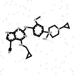 COc1cc([PH]2(O)CCN(C3CC3)CC2)ccc1Nc1nc(NCC2CC2)c2c(C#N)c[nH]c2n1